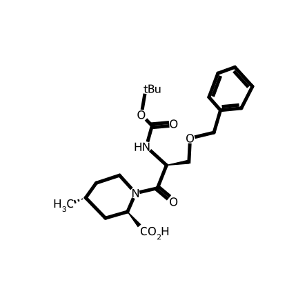 C[C@@H]1CCN(C(=O)[C@H](COCc2ccccc2)NC(=O)OC(C)(C)C)[C@@H](C(=O)O)C1